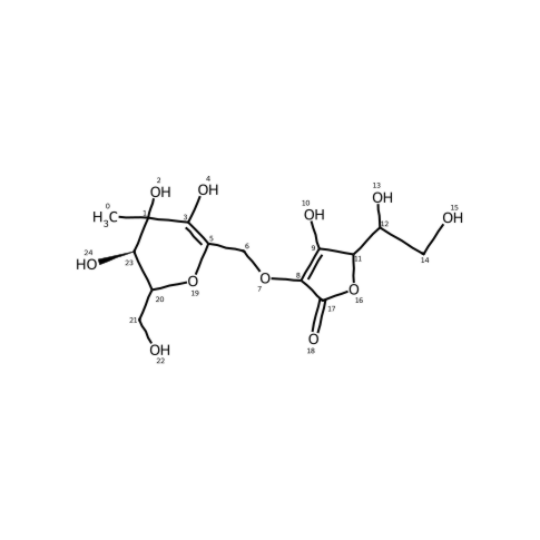 CC1(O)C(O)=C(COC2=C(O)C(C(O)CO)OC2=O)OC(CO)[C@H]1O